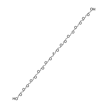 OCCOCCOCCOCCOCCOCCOCCOCCOCCOCCSCCOCCOCCOCCOCCOCCOCCOCCOCCOCCO